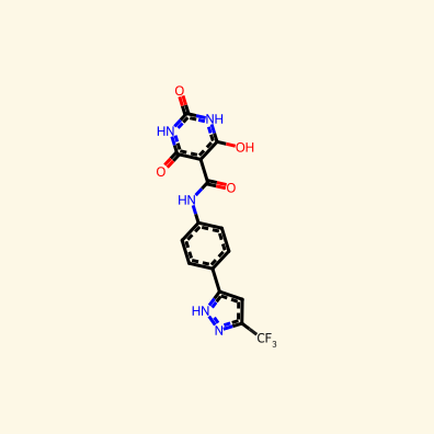 O=C(Nc1ccc(-c2cc(C(F)(F)F)n[nH]2)cc1)c1c(O)[nH]c(=O)[nH]c1=O